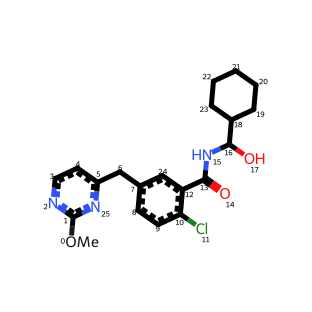 COc1nccc(Cc2ccc(Cl)c(C(=O)NC(O)C3CCCCC3)c2)n1